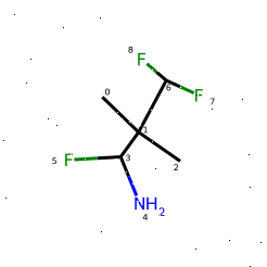 CC(C)(C(N)F)C(F)F